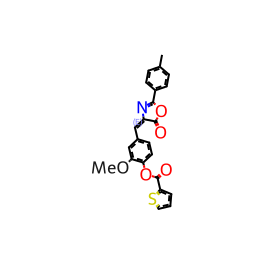 COc1cc(/C=C2/N=C(c3ccc(C)cc3)OC2=O)ccc1OC(=O)c1cccs1